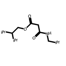 CC(C)CNC(=O)CC(=O)OCC(C(C)C)C(C)C